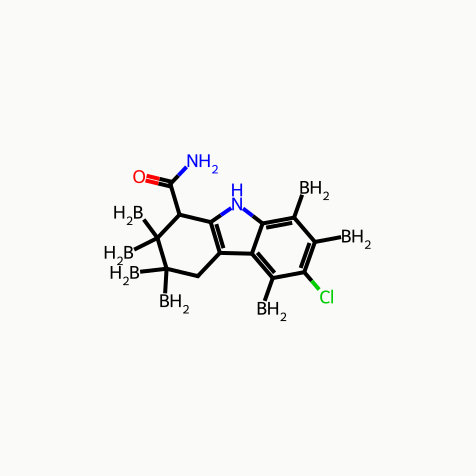 Bc1c(Cl)c(B)c2c3c([nH]c2c1B)C(C(N)=O)C(B)(B)C(B)(B)C3